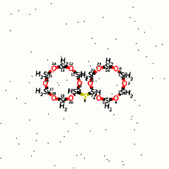 O1[SiH2]O[SiH2]O[SiH2]O[SiH](S[SiH]2O[SiH2]O[SiH2]O[SiH2]O[SiH2]O[SiH2]O2)O[SiH2]O[SiH2]1